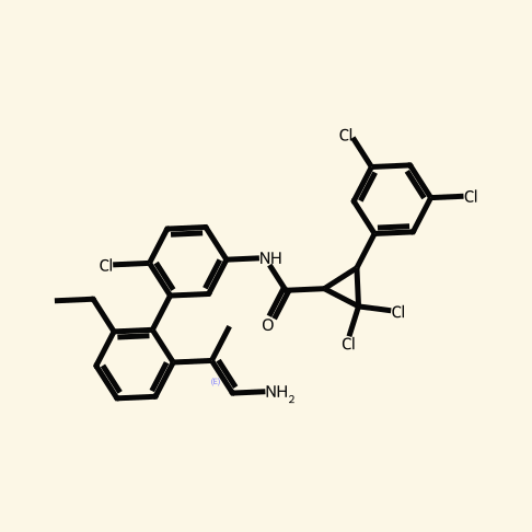 CCc1cccc(/C(C)=C/N)c1-c1cc(NC(=O)C2C(c3cc(Cl)cc(Cl)c3)C2(Cl)Cl)ccc1Cl